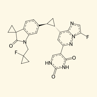 O=C1N(CC2(F)CC2)c2cc([C@H]3C[C@@H]3c3cc(-c4c[nH]c(=O)[nH]c4=O)nn4c(F)cnc34)ccc2C12CC2